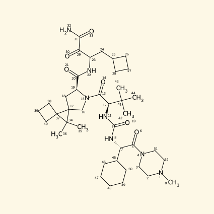 CN1CCN(C(=O)[C@@H](NC(=O)N[C@@H](C(=O)N2CC3(C[C@H]2C(=O)NC(CC2CCC2)C(=O)C(N)=O)C(C)(C)C32CCC2)C(C)(C)C)C2CCCCC2)CC1